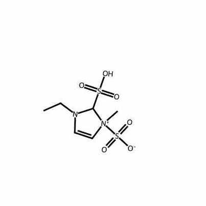 CCN1C=C[N+](C)(S(=O)(=O)[O-])C1S(=O)(=O)O